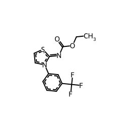 CCOC(=O)N=c1sccn1-c1cccc(C(F)(F)F)c1